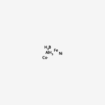 B.[AlH3].[Co].[Fe].[Ni]